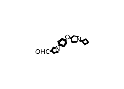 O=Cc1ccn(-c2ccc(OC3CCN(C4CCC4)CC3)cc2)c1